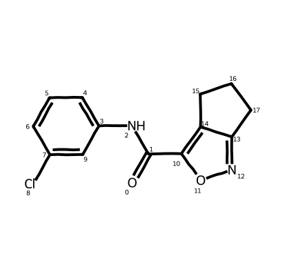 O=C(Nc1cccc(Cl)c1)c1onc2c1CCC2